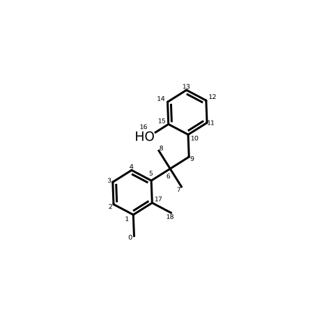 Cc1cccc(C(C)(C)Cc2ccccc2O)c1C